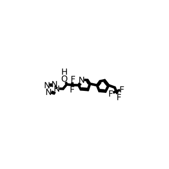 OC(Cn1cnnn1)C(F)(F)c1ccc(-c2ccc(CC(F)(F)F)cc2)cn1